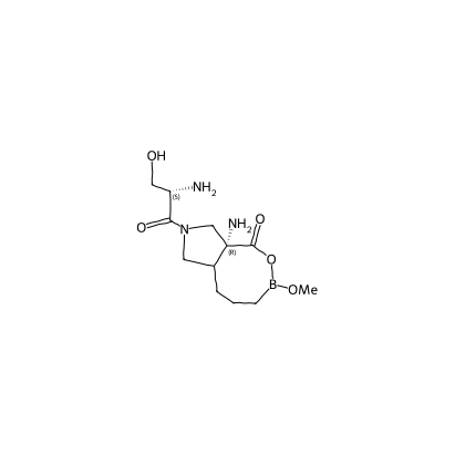 COB1CCCC2CN(C(=O)[C@@H](N)CO)C[C@@]2(N)C(=O)O1